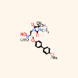 CCCCOc1ccc(-c2ccc(OC[C@@H](CN3C(=O)N(C)C(C)(C)C3=O)N(O)C=O)cc2)cc1